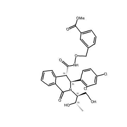 COC(=O)c1cccc(CONC(=O)[C@H]2c3ccccc3C(=O)N([C@@H](CO)[C@H](C)O)[C@@H]2c2ccc(Cl)cc2Cl)c1